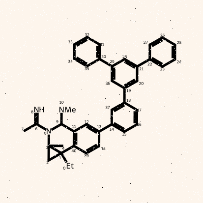 CCC12CC1(C)N(C(C)=N)C(NC)c1cc(-c3cccc(-c4cc(-c5ccccc5)cc(-c5ccccc5)c4)c3)ccc12